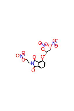 O=C1c2cccc(OCC(CO[N+](=O)[O-])O[N+](=O)[O-])c2C(=O)N1CCO[N+](=O)[O-]